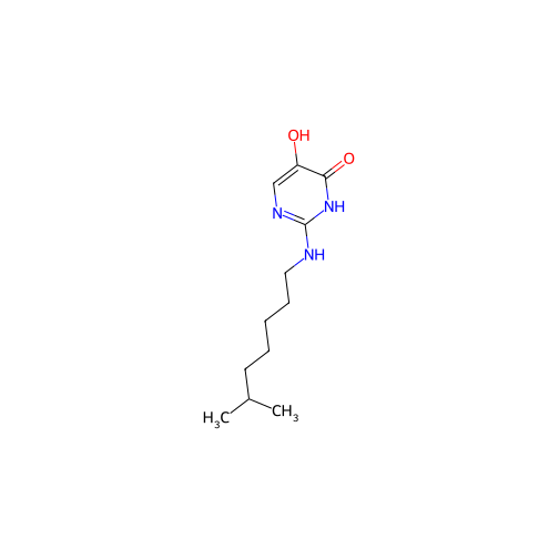 CC(C)CCCCCNc1ncc(O)c(=O)[nH]1